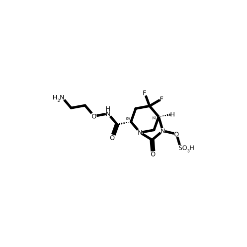 NCCONC(=O)[C@@H]1CC(F)(F)[C@@H]2CN1C(=O)N2OS(=O)(=O)O